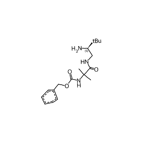 CC(C)(NC(=O)OCc1ccccc1)C(=O)NC[C@@H](N)C(C)(C)C